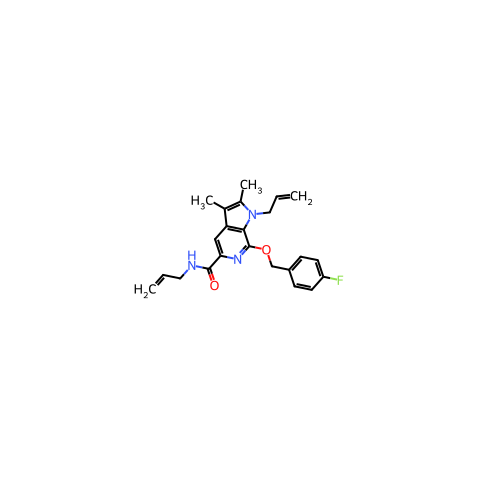 C=CCNC(=O)c1cc2c(C)c(C)n(CC=C)c2c(OCc2ccc(F)cc2)n1